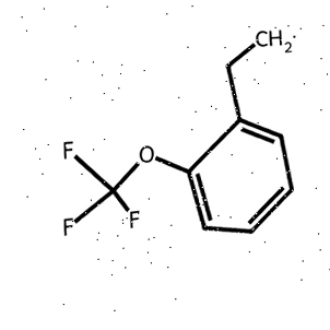 [CH2]Cc1ccccc1OC(F)(F)F